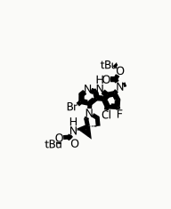 CN(C(=O)OC(C)(C)C)c1cc(F)c(Cl)c2c1[nH]c1ncc(Br)c(N3CC[C@@]4(C[C@@H]4NC(=O)OC(C)(C)C)C3)c12